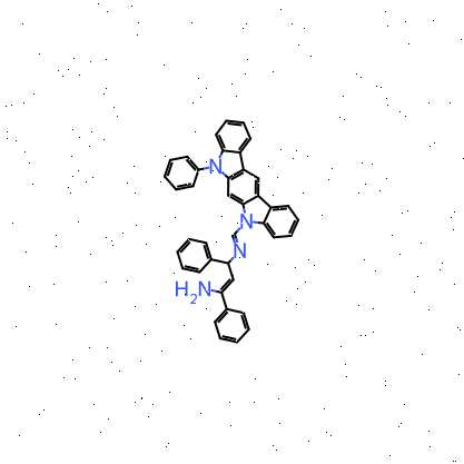 N/C(=C\C(/N=C/n1c2ccccc2c2cc3c4ccccc4n(-c4ccccc4)c3cc21)c1ccccc1)c1ccccc1